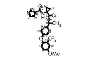 COc1ccc(Oc2cnc(C(C)NC(=O)C3(NC(=O)c4ccno4)CC3)nc2)c(C(F)(F)F)c1